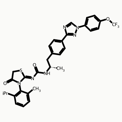 Cc1cccc(C(C)C)c1N1C(=O)CS/C1=N\C(=O)N[C@@H](C)Cc1ccc(-c2ncn(-c3ccc(OC(F)(F)F)cc3)n2)cc1